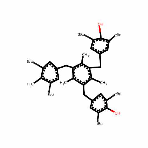 Cc1c(C(C)(C)C)cc(Cc2c(C)c(Cc3cc(C(C)(C)C)c(O)c(C(C)(C)C)c3)c(C)c(Cc3cc(C(C)(C)C)c(O)c(C(C)(C)C)c3)c2C)cc1C(C)(C)C